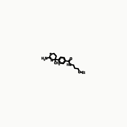 CCOCCCNC(=O)c1ccc(C2(C)CCSC(N)=N2)cc1